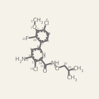 COc1c(Cl)ccc(-c2cc(N)c(Cl)c(C(=O)NOCC(C)C)n2)c1F